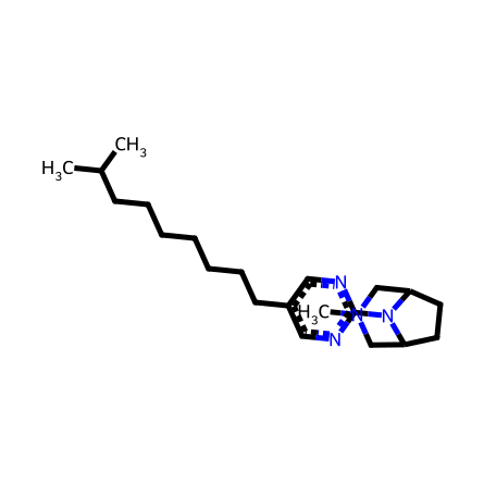 CC(C)CCCCCCCc1cnc(N2C3CCC2CN(C)C3)nc1